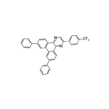 FC(F)(F)c1ccc(-c2cnc3c4ccc(-c5ccccc5)cc4c4cc(-c5ccccc5)ccc4c3n2)cc1